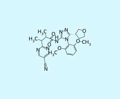 COc1cccc(OC)c1-n1c(NS(=O)(=O)C(C)C(C)c2ncc(C#N)cn2)nnc1[C@H]1CCOC1